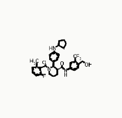 Cc1cccc(F)c1C(=O)N1CCC[C@H](C(=O)Nc2ccc(CO)c(C(F)(F)F)c2)C1c1ccc(NC2CCCC2)cc1